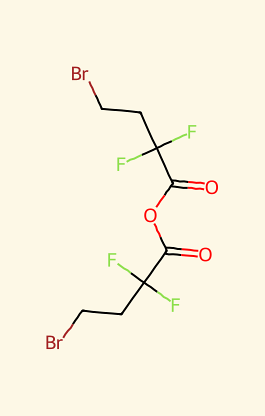 O=C(OC(=O)C(F)(F)CCBr)C(F)(F)CCBr